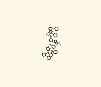 CC1(C)c2cc(N(c3ccccc3)c3cccc4c3oc3c(-c5ccccc5)cccc34)ccc2-c2cc3ccc(N(c4ccccc4-c4ccccc4)c4cccc5c4oc4ccccc45)cc3c3cccc1c23